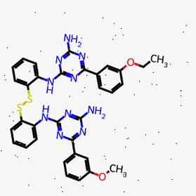 CCOc1cccc(-c2nc(N)nc(Nc3ccccc3SSc3ccccc3Nc3nc(N)nc(-c4cccc(OC)c4)n3)n2)c1